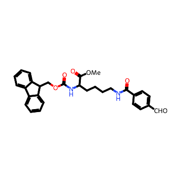 COC(=O)C(CCCCNC(=O)c1ccc(C=O)cc1)NC(=O)OCC1c2ccccc2-c2ccccc21